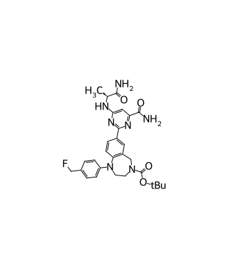 C[C@H](Nc1cc(C(N)=O)nc(-c2ccc3c(c2)CN(C(=O)OC(C)(C)C)CCN3c2ccc(CF)cc2)n1)C(N)=O